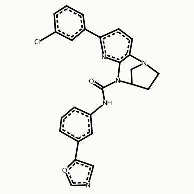 O=C(Nc1cccc(-c2cnco2)c1)N1c2nc(-c3cccc(Cl)c3)ccc2N2CCC1C2